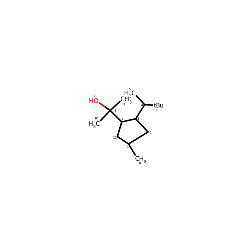 CC1CC(C(C)C(C)(C)C)C(C(C)(C)O)C1